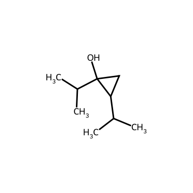 CC(C)C1CC1(O)C(C)C